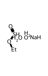 CCO[SH]=O.O.O.[NaH]